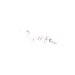 COc1cc(OC2C(C)(C)C(NC(=O)c3ccc(N4CCC5(CC4)CN(C4CC(Oc6ccc(C(=O)O)c(OC)c6)C4)CCO5)cc3)C2(C)C)ccc1C#N